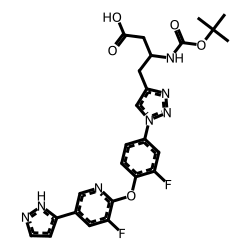 CC(C)(C)OC(=O)NC(CC(=O)O)Cc1cn(-c2ccc(Oc3ncc(-c4ccn[nH]4)cc3F)c(F)c2)nn1